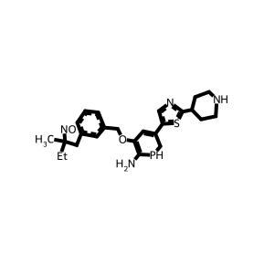 CCC(C)(Cc1cccc(COC2=C(N)PCC(c3cnc(C4CCNCC4)s3)=C2)c1)N=O